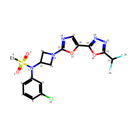 CCS(=O)(=O)N(c1cccc(Cl)c1)C1CN(c2ncc(-c3nnc(C(F)F)o3)o2)C1